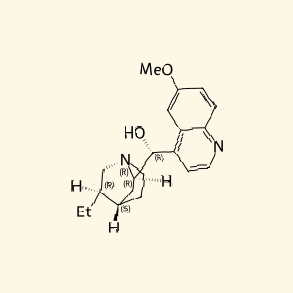 CC[C@H]1C[N@]2CC[C@H]1C[C@@H]2[C@H](O)c1ccnc2ccc(OC)cc12